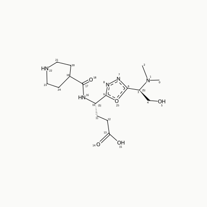 CN(C)[C@@H](CO)c1nnc([C@H](CCC(=O)O)NC(=O)C2CCNCC2)o1